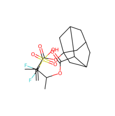 C=C(C)C(=O)OC12CC3CC(C1)C(C(=O)OC(C)C(F)(F)S(=O)(=O)O)C(C3)C2